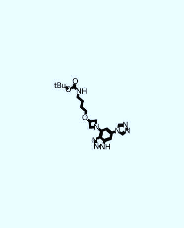 CC(C)(C)OC(=O)NCCCCOC1CN(c2cc(-n3cnnc3)cc3[nH]nnc23)C1